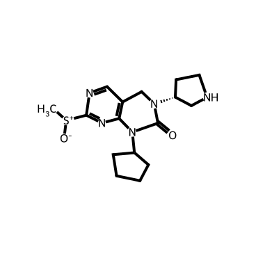 C[S+]([O-])c1ncc2c(n1)N(C1CCCC1)C(=O)N([C@@H]1CCNC1)C2